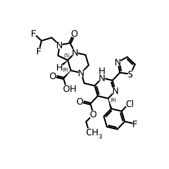 CCOC(=O)C1=C(CN2CCN3C(=O)N(CC(F)F)C[C@H]3[C@@H]2C(=O)O)NC(c2nccs2)=N[C@H]1c1cccc(F)c1Cl